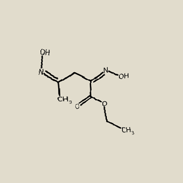 CCOC(=O)/C(C/C(C)=N\O)=N\O